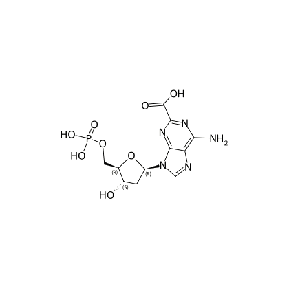 Nc1nc(C(=O)O)nc2c1ncn2[C@H]1C[C@H](O)[C@@H](COP(=O)(O)O)O1